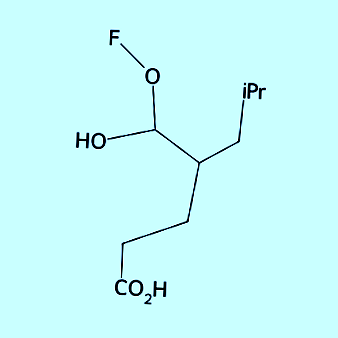 CC(C)CC(CCC(=O)O)C(O)OF